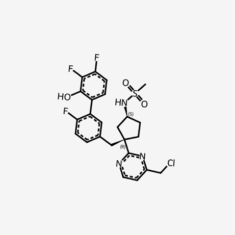 CS(=O)(=O)N[C@H]1CC[C@](Cc2ccc(F)c(-c3ccc(F)c(F)c3O)c2)(c2nccc(CCl)n2)C1